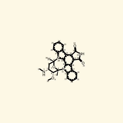 CN[C@@H]1C[C@H]2O[C@@](C)([C@@H]1OC)n1c3ccccc3c3c4c(c5c6ccccc6n2c5c31)C(=O)NC4=O